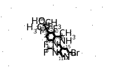 C[C@@H](Nc1nc(C(F)F)nc2cnc(Br)cc12)c1cccc(C(F)(F)C(C)(C)O)c1F